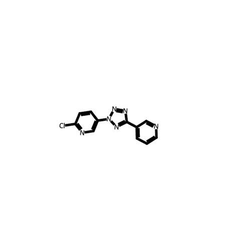 Clc1ccc(-n2nnc(-c3cccnc3)n2)cn1